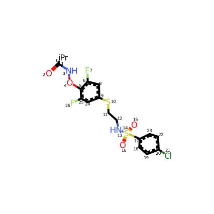 CC(C)C(=O)NOc1c(F)cc(SCCNS(=O)(=O)c2ccc(Cl)cc2)cc1F